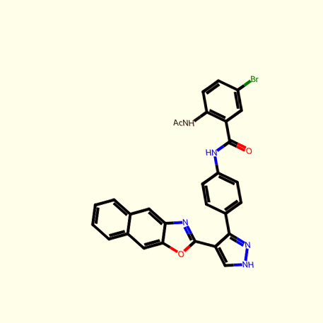 CC(=O)Nc1ccc(Br)cc1C(=O)Nc1ccc(-c2n[nH]cc2-c2nc3cc4ccccc4cc3o2)cc1